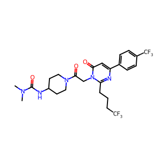 CN(C)C(=O)NC1CCN(C(=O)Cn2c(CCCC(F)(F)F)nc(-c3ccc(C(F)(F)F)cc3)cc2=O)CC1